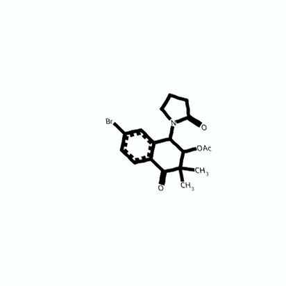 CC(=O)OC1C(N2CCCC2=O)c2cc(Br)ccc2C(=O)C1(C)C